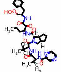 CCCC(NC(=O)[C@@H]1[C@H]2CCC[C@H]2CN1C(=O)[C@@H](NC(=O)[C@H](NC(=O)c1cnccn1)C(C)C)C(C)(C)C)C(=O)C(=O)N[C@@H](COO)Cc1ccccc1